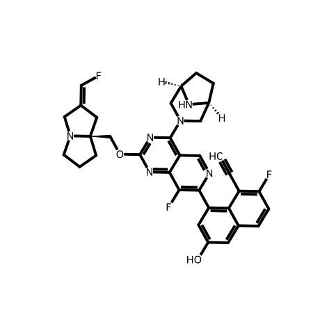 C#Cc1c(F)ccc2cc(O)cc(-c3ncc4c(N5C[C@H]6CC[C@@H](C5)N6)nc(OC[C@@]56CCCN5C/C(=C/F)C6)nc4c3F)c12